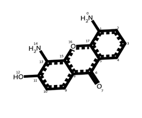 Nc1cccc2c(=O)c3ccc(O)c(N)c3oc12